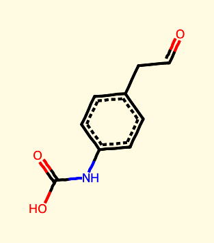 O=CCc1ccc(NC(=O)O)cc1